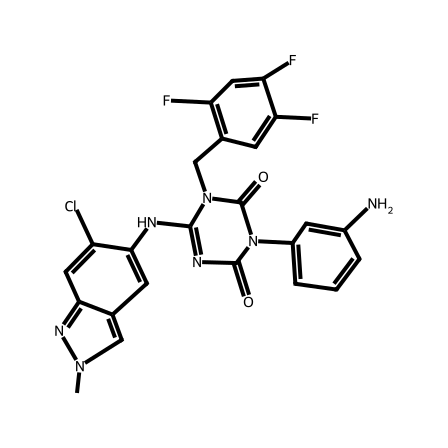 Cn1cc2cc(Nc3nc(=O)n(-c4cccc(N)c4)c(=O)n3Cc3cc(F)c(F)cc3F)c(Cl)cc2n1